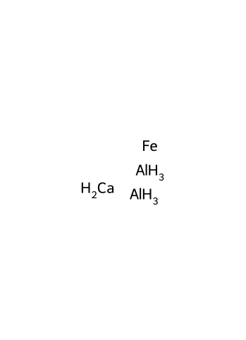 [AlH3].[AlH3].[CaH2].[Fe]